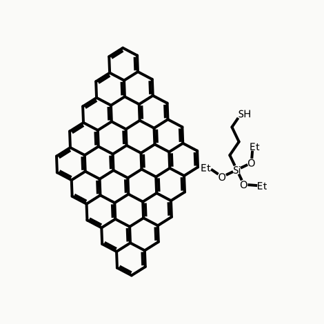 CCO[Si](CCCS)(OCC)OCC.c1cc2cc3cc4cc5ccc6cc7cc8cc9cccc%10cc%11cc%12cc%13ccc%14cc%15cc%16cc(c1)c2c1c3c2c4c3c5c6c4c7c5c8c(c9%10)c%11c6c%12c7c%13c%14c8c%15c(c%161)c2c1c3c4c(c56)c7c81